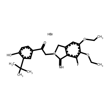 Br.CCOc1cc2c(c(F)c1OCC)C(=N)N(CC(=O)c1ccc(O)c(C(C)(C)C)c1)C2